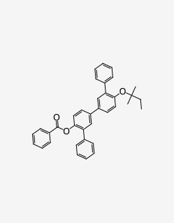 CCC(C)(C)Oc1ccc(-c2ccc(OC(=O)c3ccccc3)c(-c3ccccc3)c2)cc1-c1ccccc1